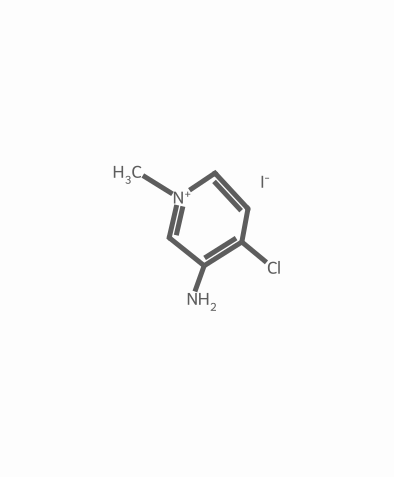 C[n+]1ccc(Cl)c(N)c1.[I-]